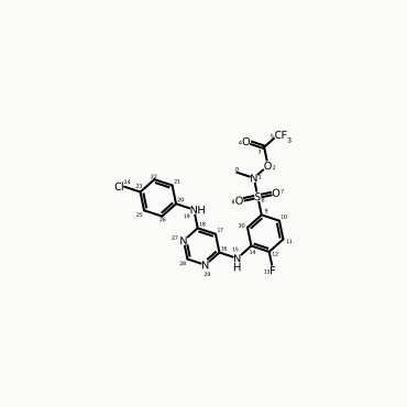 CN(OC(=O)C(F)(F)F)S(=O)(=O)c1ccc(F)c(Nc2cc(Nc3ccc(Cl)cc3)ncn2)c1